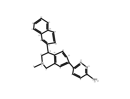 CN1Cc2cc(-c3ccc(N)nn3)ccc2C(c2ccc3ccccc3c2)C1